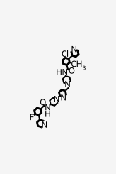 Cc1c(C(=O)NC2CCN(Cc3ccc(N4CCC(NC(=O)c5ccc(F)c(-c6cccnc6)c5)CC4)nc3)CC2)ccc(Cl)c1-c1cccnc1